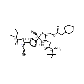 CC[C@H](C)C(=O)N/C(=N/C=N)c1ccc([C@]2(C#N)O[C@H](COC(=O)CC3CCCCC3)[C@@H](OC(=O)[C@@H](N)C(C)(C)C)[C@H]2O)[nH]1